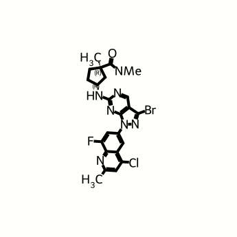 CNC(=O)[C@]1(C)CC[C@@H](Nc2ncc3c(Br)nn(-c4cc(F)c5nc(C)cc(Cl)c5c4)c3n2)C1